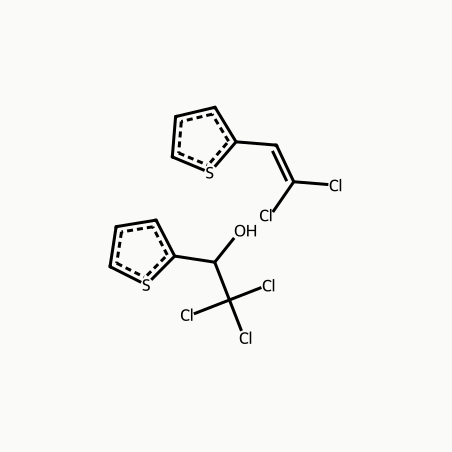 ClC(Cl)=Cc1cccs1.OC(c1cccs1)C(Cl)(Cl)Cl